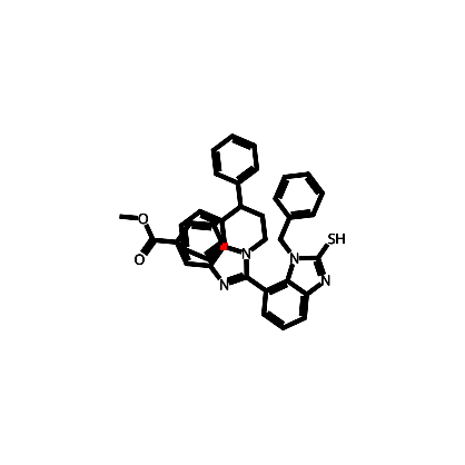 COC(=O)c1ccc2c(c1)nc(-c1cccc3nc(S)n(Cc4ccccc4)c13)n2CCC(c1ccccc1)c1ccccc1